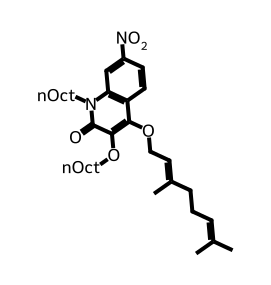 CCCCCCCCOc1c(OC/C=C(\C)CCC=C(C)C)c2ccc([N+](=O)[O-])cc2n(CCCCCCCC)c1=O